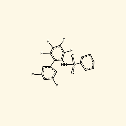 O=S(=O)(Nc1c(F)c(F)c(F)c(F)c1-c1cc(F)cc(F)c1)c1ccccc1